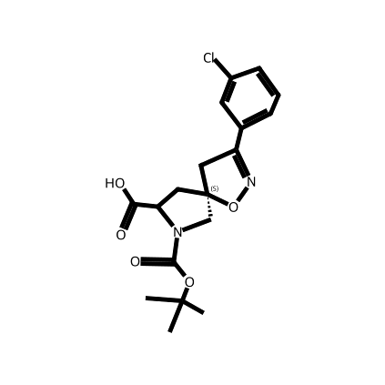 CC(C)(C)OC(=O)N1C[C@@]2(CC(c3cccc(Cl)c3)=NO2)CC1C(=O)O